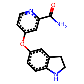 NC(=O)c1cc(Oc2ccc3c(c2)CCN3)ccn1